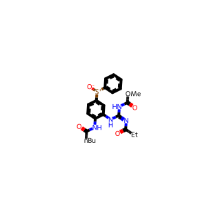 CCCCC(=O)Nc1ccc([S+]([O-])c2ccccc2)cc1NC(=NC(=O)CC)NC(=O)OC